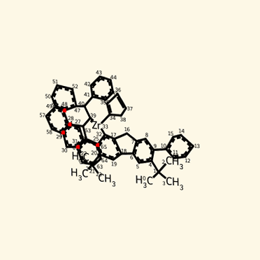 CC(C)(C)c1cc2c(cc1-c1ccccc1)Cc1c-2cc(C(C)(C)C)c(-c2ccccc2)[c]1[Zr]([C]1=CC=CC1)=[C](C(c1ccccc1)c1ccccc1)C(c1ccccc1)c1ccccc1